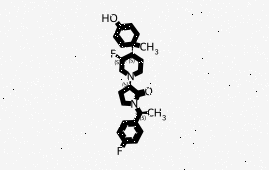 C[C@@H](c1ccc(F)cc1)N1CC[C@H](N2CC[C@@H](C3(C)C=CC(O)=CC3)[C@H](F)C2)C1=O